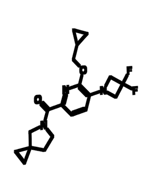 O=C(c1ccc(N2CC(F)(F)C2)c(OCC2CC2)n1)N1CCC2(CC2)C1